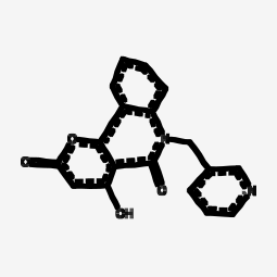 O=c1cc(O)c2c(=O)n(Cc3cccnc3)c3ccccc3c2o1